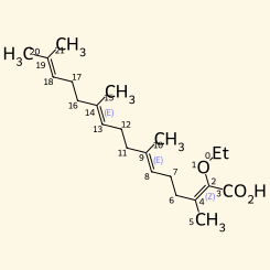 CCO/C(C(=O)O)=C(/C)CC/C=C(\C)CC/C=C(\C)CCC=C(C)C